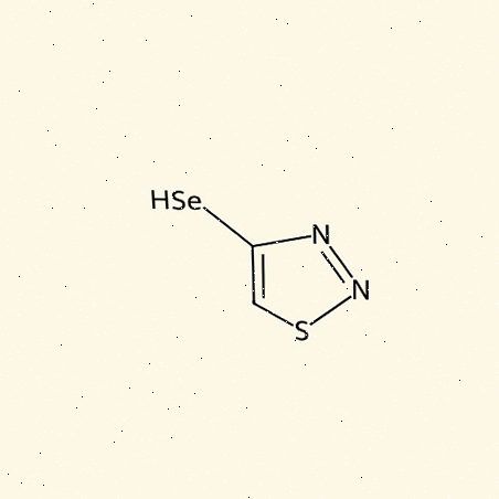 [SeH]c1csnn1